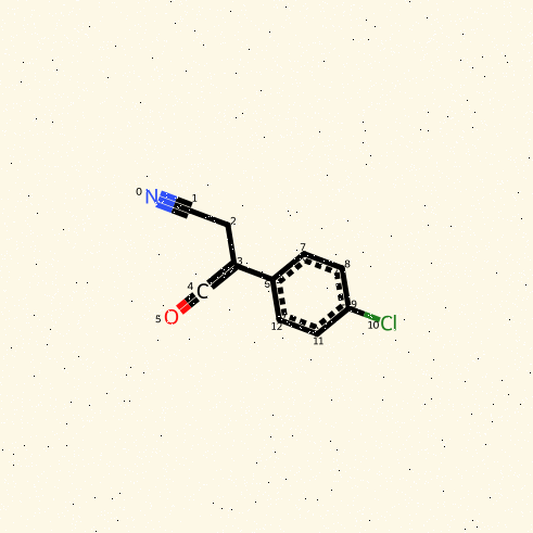 N#CCC(=C=O)c1ccc(Cl)cc1